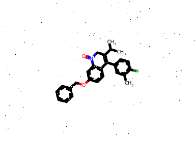 Cc1cc(C2=C(C(C)C)C[N+](=O)c3cc(OCc4ccccc4)ccc32)ccc1F